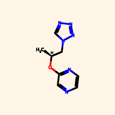 C[C@@H](Cn1cnnn1)Oc1cnccn1